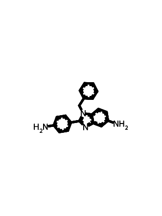 Nc1ccc(-c2nc3cc(N)ccc3n2Cc2ccccc2)cc1